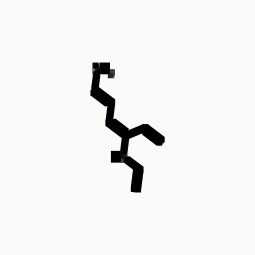 C=CB/C(C=C)=C/C=C/N